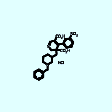 Cl.O=C(O)C1=C(c2cccc([N+](=O)[O-])c2)C(CC2CCCN(Cc3ccccc3)C2)(C(=O)O)CN=C1